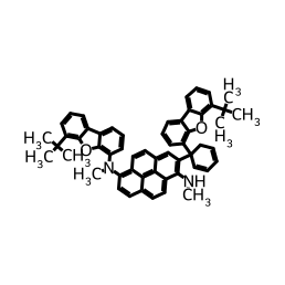 CNc1c(C2(c3cccc4c3oc3c(C(C)(C)C)cccc34)C=CC=CC2)cc2ccc3c(N(C)c4cccc5c4oc4c(C(C)(C)C)cccc45)ccc4ccc1c2c43